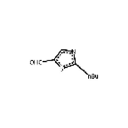 CCCCc1ncc(C=O)s1